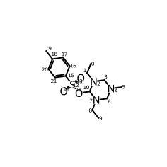 CCN1CN(C)CN(CC)C1OS(=O)(=O)c1ccc(C)cc1